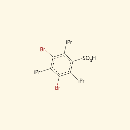 CC(C)c1c(Br)c(C(C)C)c(S(=O)(=O)O)c(C(C)C)c1Br